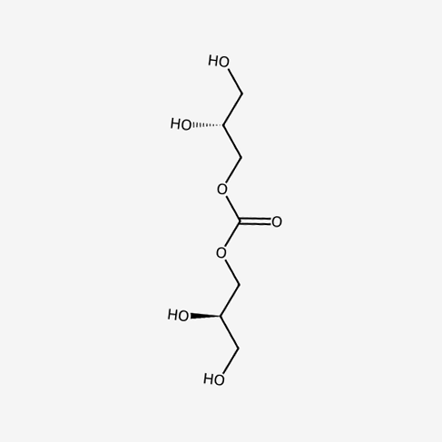 O=C(OC[C@H](O)CO)OC[C@H](O)CO